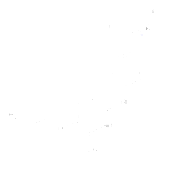 C=CCOC(=O)C(C)NC(=O)Nc1ccc(/C(C)=N/O)cc1